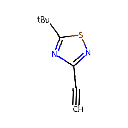 C#Cc1nsc(C(C)(C)C)n1